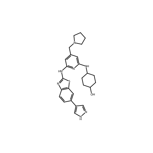 OC1CCC(Nc2cc(CN3CCCC3)cc(Nc3nc4ccc(-c5cn[nH]c5)cc4s3)n2)CC1